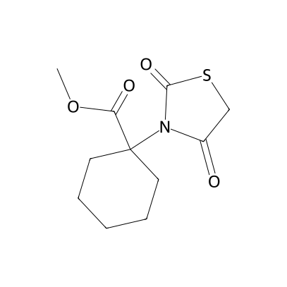 COC(=O)C1(N2C(=O)CSC2=O)CCCCC1